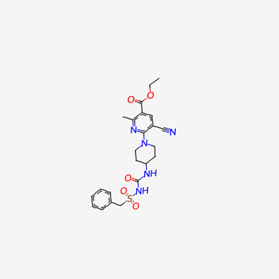 CCOC(=O)c1cc(C#N)c(N2CCC(NC(=O)NS(=O)(=O)Cc3ccccc3)CC2)nc1C